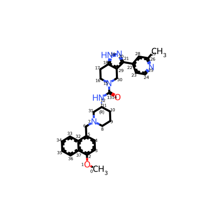 COc1ccc(CN2CCC[C@@H](NC(=O)N3CCc4[nH]nc(-c5ccnc(C)c5)c4C3)C2)c2ccccc12